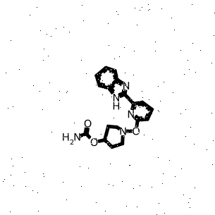 NC(=O)OC1CCN(Oc2cccc(-c3nc4ccccc4[nH]3)n2)CC1